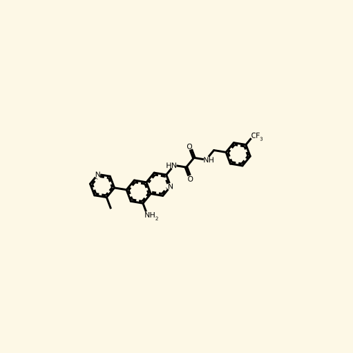 Cc1ccncc1-c1cc(N)c2cnc(NC(=O)C(=O)NCc3cccc(C(F)(F)F)c3)cc2c1